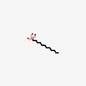 CCCCCCCCCCC[CH][Si](OC)(OC)OC